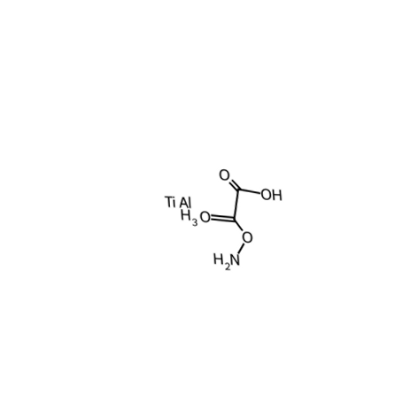 NOC(=O)C(=O)O.[AlH3].[Ti]